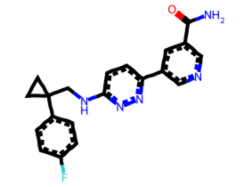 NC(=O)c1cncc(-c2ccc(NCC3(c4ccc(F)cc4)CC3)nn2)c1